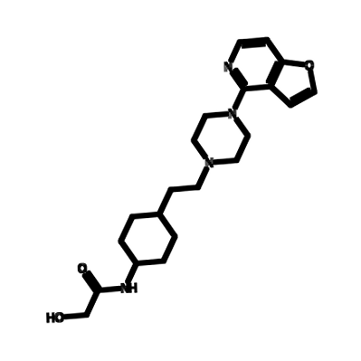 O=C(CO)NC1CCC(CCN2CCN(c3nccc4occc34)CC2)CC1